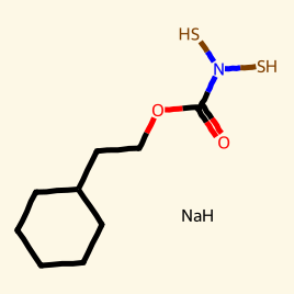 O=C(OCCC1CCCCC1)N(S)S.[NaH]